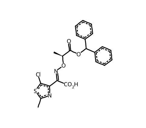 Cc1nc(/C(=N/O[C@@H](C)C(=O)OC(c2ccccc2)c2ccccc2)C(=O)O)c(Cl)s1